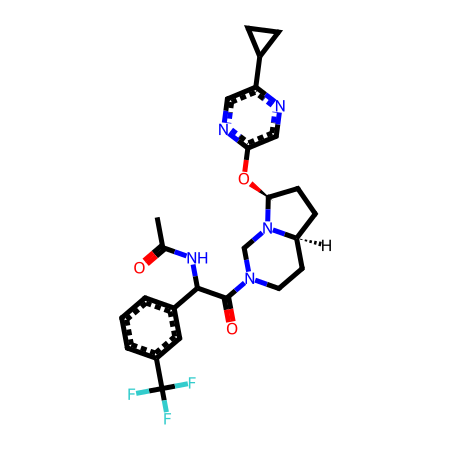 CC(=O)NC(C(=O)N1CC[C@@H]2CC[C@H](Oc3cnc(C4CC4)cn3)N2C1)c1cccc(C(F)(F)F)c1